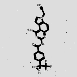 C#CCn1ccc2c3c(N)nc(NC(=O)c4ccc(C5(C(F)(F)F)NN5)cc4)nc3ccc21